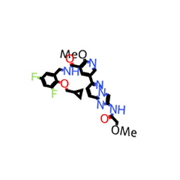 COCC(=O)Nc1cn2nc(-c3cnc(OC)c(C(=O)NCc4cc(F)cc(F)c4OCC4CC4)c3)ccc2n1